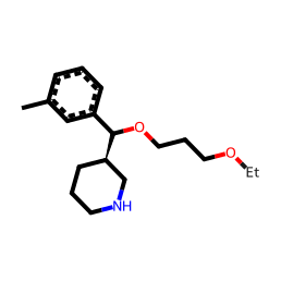 CCOCCCOC(c1cccc(C)c1)[C@@H]1CCCNC1